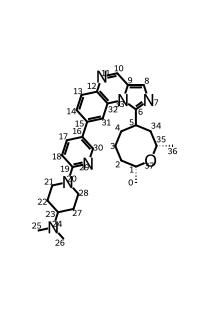 C[C@@H]1CCCC(c2ncc3cnc4ccc(-c5ccc(N6CCC(N(C)C)CC6)nc5)cc4n23)C[C@H](C)O1